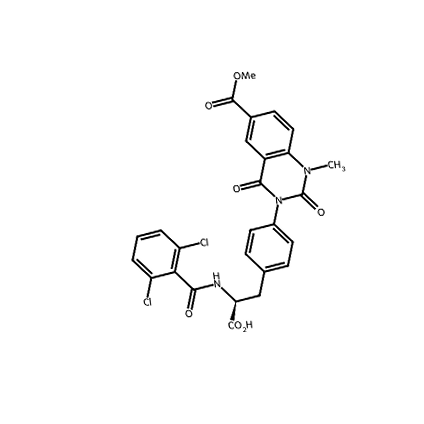 COC(=O)c1ccc2c(c1)c(=O)n(-c1ccc(C[C@H](NC(=O)c3c(Cl)cccc3Cl)C(=O)O)cc1)c(=O)n2C